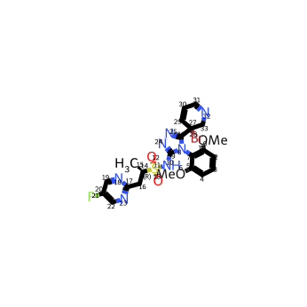 COc1cccc(OC)c1-n1c(NS(=O)(=O)[C@H](C)Cc2ncc(F)cn2)nnc1C1(Br)C=CC=NC1